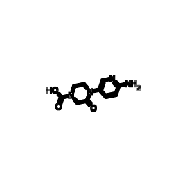 Nc1ccc(N2CCN(C(=O)O)CC2=O)cn1